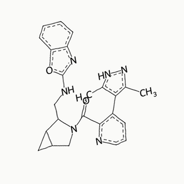 Cc1n[nH]c(C)c1-c1cccnc1C(=O)N1CC2CC2C1CNc1nc2ccccc2o1